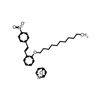 CCCCCCCCCCCOc1ccccc1C=Cc1ccc([N+](=O)[O-])cc1.c1cc2cc(n1)O2